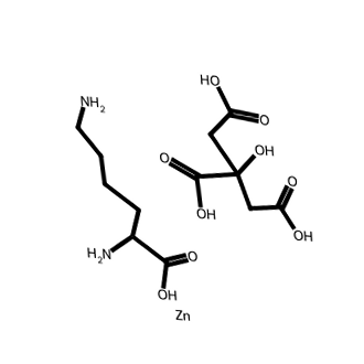 NCCCCC(N)C(=O)O.O=C(O)CC(O)(CC(=O)O)C(=O)O.[Zn]